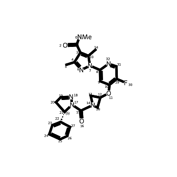 CNC(=O)c1c(C)nn(-c2cc(OC3CN(C(=O)N4N=CC[C@H]4c4ccccc4)C3)c(F)cn2)c1C